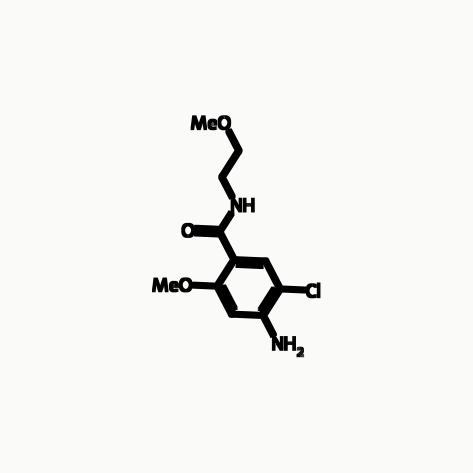 COCCNC(=O)c1cc(Cl)c(N)cc1OC